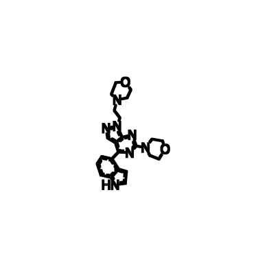 c1cc(-c2nc(N3CCOCC3)nc3c2cnn3CCN2CCOCC2)c2cc[nH]c2c1